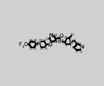 O=C(NC1CCN(Cc2cccnc2)C(I)C1)c1cncc(OC2CCN(c3ccc(C(F)(F)F)cc3)CC2)c1